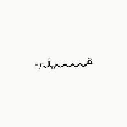 C=CC(=O)OCCCCCCCCC1CO1